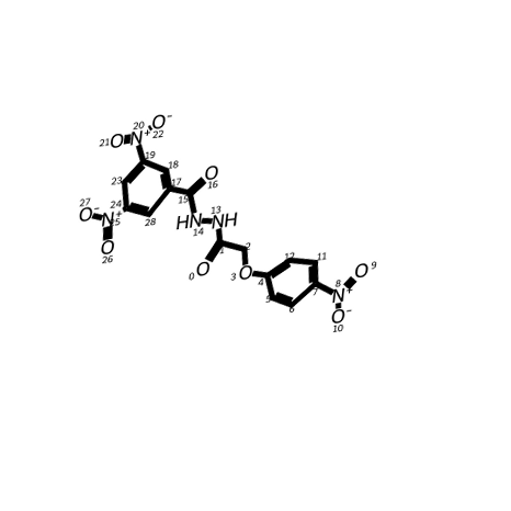 O=C(COc1ccc([N+](=O)[O-])cc1)NNC(=O)c1cc([N+](=O)[O-])cc([N+](=O)[O-])c1